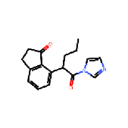 CCCC(C(=O)n1ccnc1)c1cccc2c1C(=O)CC2